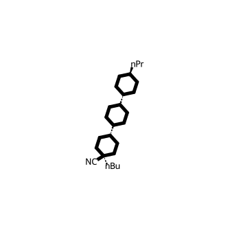 CCCC[C@]1(C#N)CC[C@H](C2CCC([C@H]3CC[C@H](CCC)CC3)CC2)CC1